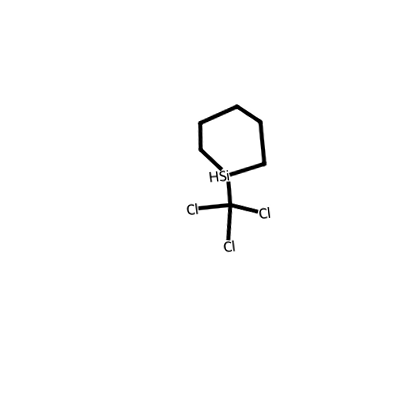 ClC(Cl)(Cl)[SiH]1CCCCC1